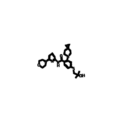 CC(C)(O)CSc1ccc(C(=O)Nc2cccc(N3CCOCC3)n2)c(N2CCC3(CC2)CC3)c1